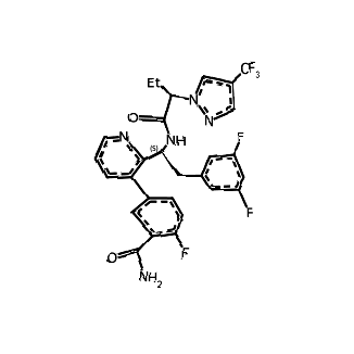 CCC(C(=O)N[C@@H](Cc1cc(F)cc(F)c1)c1ncccc1-c1ccc(F)c(C(N)=O)c1)n1cc(C(F)(F)F)cn1